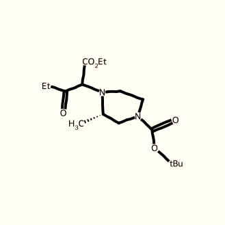 CCOC(=O)C(C(=O)CC)N1CCN(C(=O)OC(C)(C)C)C[C@@H]1C